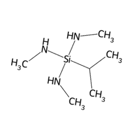 CN[Si](NC)(NC)C(C)C